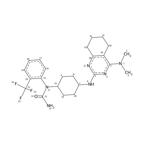 CN(C)c1nc(NC2CCC(N(C(N)=O)c3ccccc3C(F)(F)F)CC2)nc2c1CCCC2